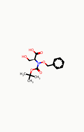 CC(C)(C)OC(=O)N(OCc1ccccc1)[C@@H](CO)C(=O)O